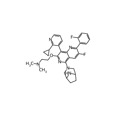 CN(C)CCOc1nc(N2CC3CCC(C2)N3)c2cc(F)c(-c3ccccc3F)nc2c1-c1cccnc1C1CC1